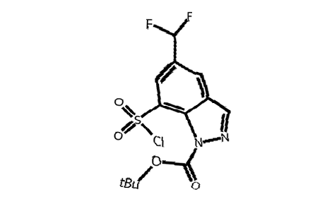 CC(C)(C)OC(=O)n1ncc2cc(C(F)F)cc(S(=O)(=O)Cl)c21